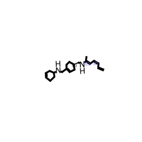 C=C/C=C\C=C(/C)NC[C@H]1CC=C(CNC2CC=CCC2)CC1